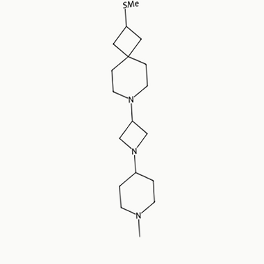 CSC1CC2(CCN(C3CN(C4CCN(C)CC4)C3)CC2)C1